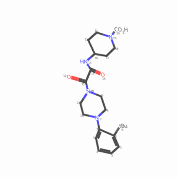 CC(C)(C)c1ccccc1N1CCN(C(=O)C(=O)NC2CCN(C(=O)O)CC2)CC1